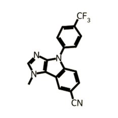 Cn1cnc2c1c1cc(C#N)ccc1n2-c1ccc(C(F)(F)F)cc1